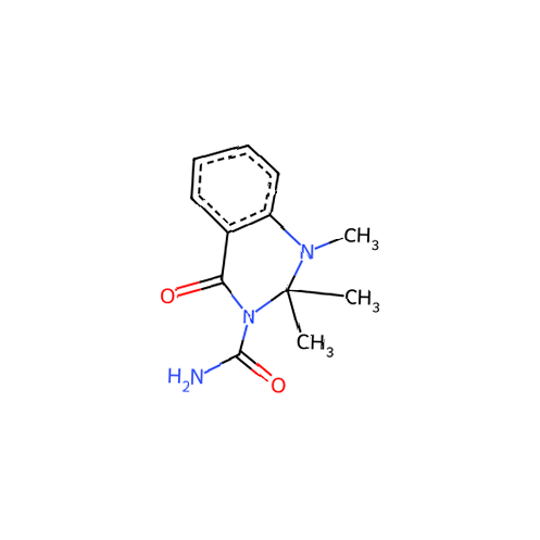 CN1c2ccccc2C(=O)N(C(N)=O)C1(C)C